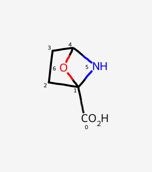 O=C(O)C12CCC(N1)O2